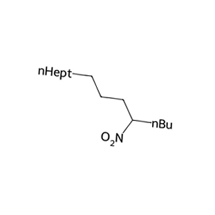 CCCCCCCCCCC(CCCC)[N+](=O)[O-]